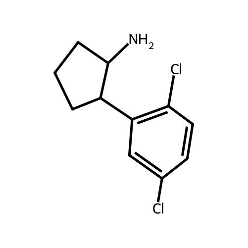 NC1CCCC1c1cc(Cl)ccc1Cl